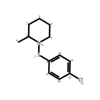 CC1CCCCN1Sc1ccc(Cl)cc1